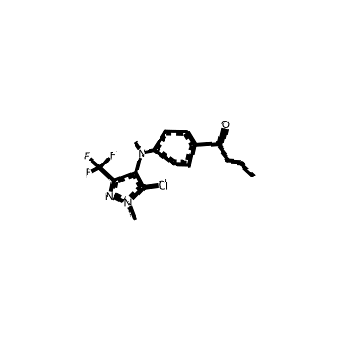 CCCC(=O)c1ccc(N(C)c2c(C(F)(F)F)nn(C)c2Cl)cc1